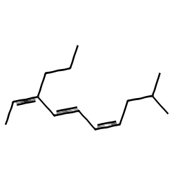 C\C=C(/C=C/C=C\CC(C)C)CCC